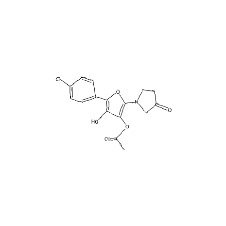 CC(=O)Oc1c(N2CCC(=O)C2)oc(-c2ccc(Cl)cc2)c1O